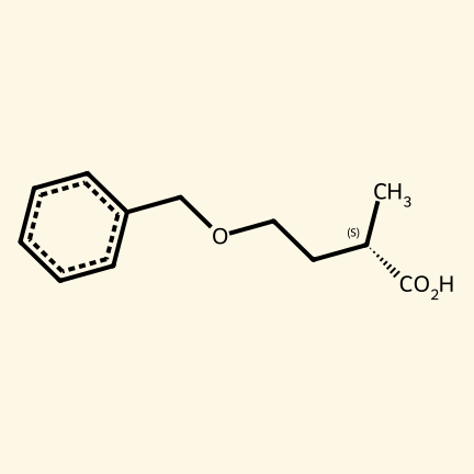 C[C@@H](CCOCc1ccccc1)C(=O)O